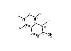 CC1=C2C(=C(C)C(C)C1)C=CC(O)N2I